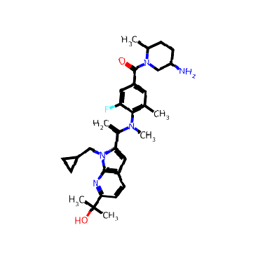 C=C(c1cc2ccc(C(C)(C)O)nc2n1CC1CC1)N(C)c1c(C)cc(C(=O)N2CC(N)CCC2C)cc1F